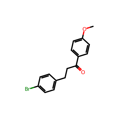 COc1ccc(C(=O)CCc2ccc(Br)cc2)cc1